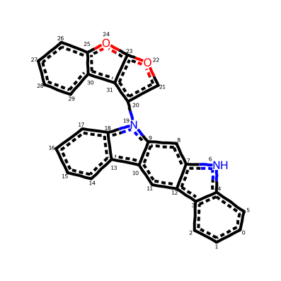 c1ccc2c(c1)[nH]c1cc3c(cc12)c1ccccc1n3-c1coc2oc3ccccc3c12